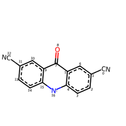 N#Cc1ccc2c(c1)C(=O)c1cc(C#N)ccc1[N]2